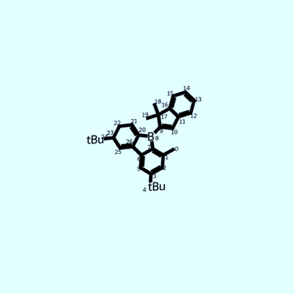 Cc1cc(C(C)(C)C)cc2c1B(C1=Cc3ccccc3C1(C)C)C1=CCC(C(C)(C)C)C=C12